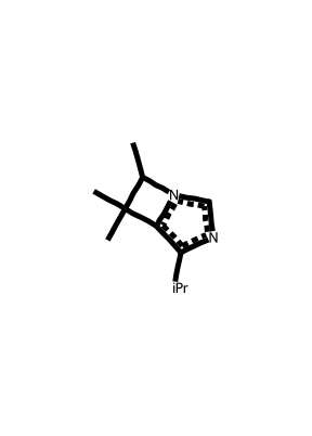 CC(C)c1ncn2c1C(C)(C)C2C